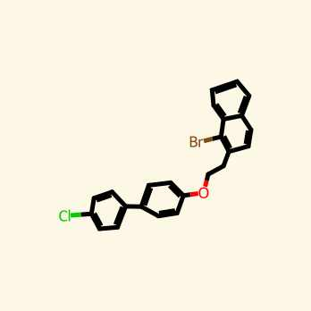 Clc1ccc(-c2ccc(OCCc3ccc4ccccc4c3Br)cc2)cc1